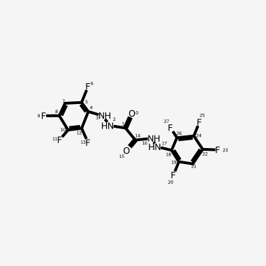 O=C(NNc1c(F)cc(F)c(F)c1F)C(=O)NNc1c(F)cc(F)c(F)c1F